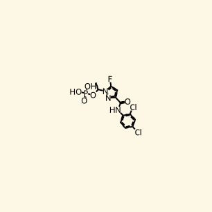 CC(OP(=O)(O)O)n1nc(C(=O)Nc2ccc(Cl)cc2Cl)cc1F